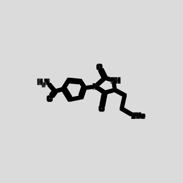 CSCCC1NC(=O)N(c2ccc(C(N)=O)cc2)C1=O